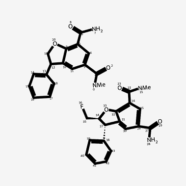 CNC(=O)c1cc(C(N)=O)c2c(c1)C(c1ccccc1)CO2.CNC(=O)c1cc(C(N)=O)cc2c1O[C@H](CF)[C@H]2c1ccccc1